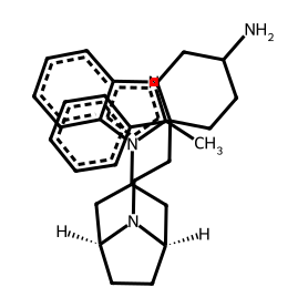 Cc1nc2ccccc2n1C1C[C@H]2CC[C@@H](C1)N2CCC1(c2ccccc2)CCC(N)CC1